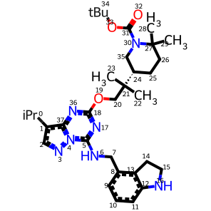 CC(C)c1cnn2c(NCc3cccc4c3CCN4)nc(OCC(C)(C)[C@H]3CCC(C)(C)N(C(=O)OC(C)(C)C)C3)nc12